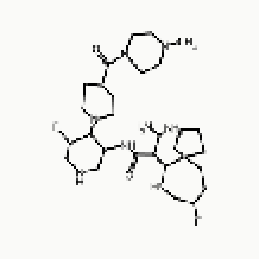 CN1CCN(C(=O)C2CCN(C3C(F)CNCC3NC(=O)C(C(N)N)C3NCC(F)CCC34CCCC4)CC2)CC1